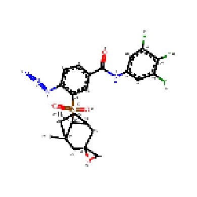 [N-]=[N+]=Nc1ccc(C(=O)Nc2cc(F)c(F)c(F)c2)cc1S(=O)(=O)[C@H]1C2CC[C@H]1C[C@]1(CO1)C2